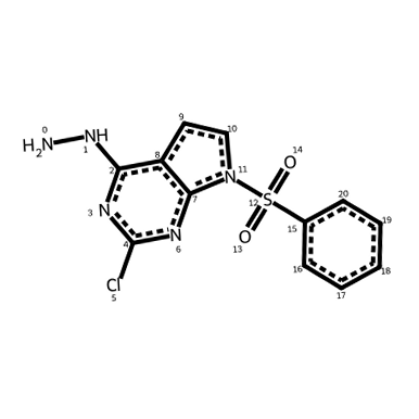 NNc1nc(Cl)nc2c1ccn2S(=O)(=O)c1ccccc1